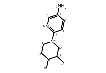 CC1CCN(c2ccc(N)cn2)CC1C